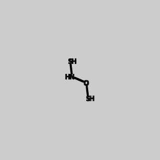 SNOS